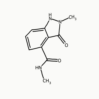 CNC(=O)c1cccc2[nH]n(C)c(=O)c12